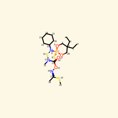 CCC1(CC)COP(=S)(N(SN(C)C(=O)ON=C(C)SC)C2CCCCC2)OC1